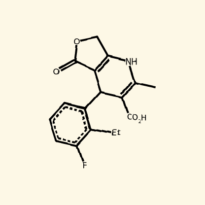 CCc1c(F)cccc1C1C(C(=O)O)=C(C)NC2=C1C(=O)OC2